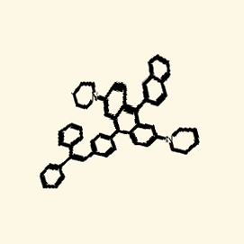 C(=C(c1ccccc1)c1ccccc1)c1ccc(-c2c3ccc(N4CCCCC4)cc3c(-c3ccc4ccccc4c3)c3ccc(N4CCCCC4)cc23)cc1